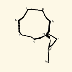 CC1CC12CCCCCC2